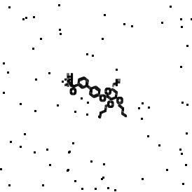 CCCCO[C@@H]1[C@@H](Oc2ccc(-c3cccc(C(=O)NC)c3)cc2)O[C@H](CF)C[C@@H]1OCCCC